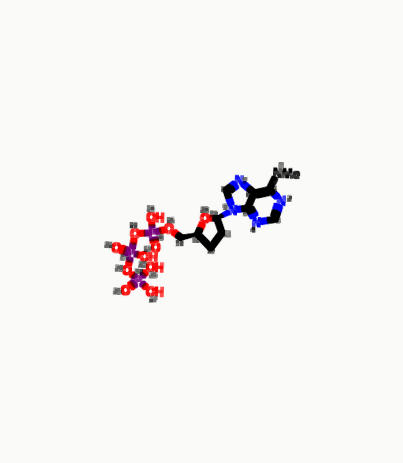 CNc1ncnc2c1ncn2[C@H]1CC[C@@H](COP(=O)(O)OP(=O)(O)OP(=O)(O)O)O1